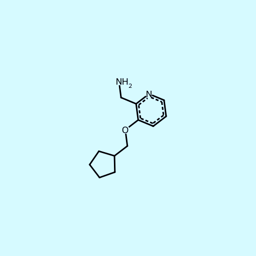 NCc1ncccc1OCC1CCCC1